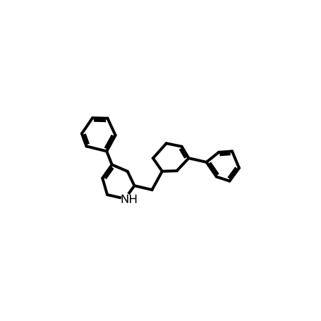 C1=C(c2ccccc2)CC(CC2CC(c3ccccc3)=CCN2)CC1